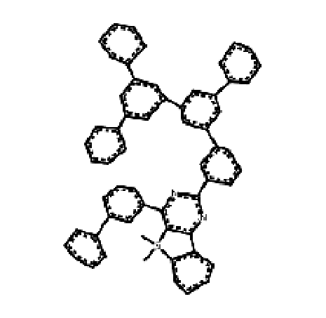 C[Si]1(C)c2ccccc2-c2nc(-c3cccc(-c4cc(-c5ccccc5)cc(-c5cc(-c6ccccc6)cc(-c6ccccc6)c5)c4)c3)nc(-c3cccc(-c4ccccc4)c3)c21